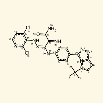 CC(C)(C)n1ccc2nnc(-c3ccc(N/C(=C/Nc4c(Cl)cccc4Cl)C(=N)C(N)=O)cn3)n21